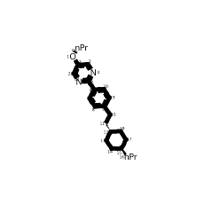 CCCOc1cnc(-c2ccc(CC[C@H]3CC[C@H](CCC)CC3)cc2)nc1